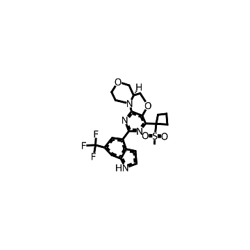 CS(=O)(=O)C1(c2nc(-c3cc(C(F)(F)F)cc4[nH]ccc34)nc3c2OC[C@@H]2COCCN32)CCC1